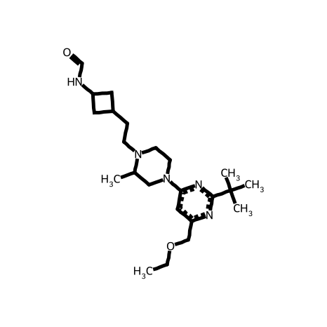 CCOCc1cc(N2CCN(CCC3CC(NC=O)C3)C(C)C2)nc(C(C)(C)C)n1